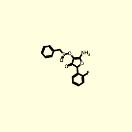 NC1=C(OS(=O)Cc2ccccc2)C(=O)C(c2ccccc2F)O1